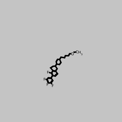 CCOCCCCCC1CCC(C2CCc3c(ccc(-c4cc(F)c(F)c(F)c4)c3F)C2)CC1